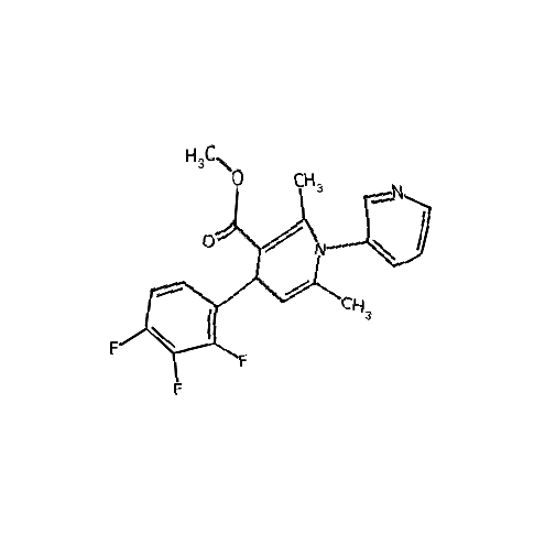 COC(=O)C1=C(C)N(c2cccnc2)C(C)=CC1c1ccc(F)c(F)c1F